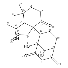 C=C1CC(=O)C2(O)C(O)C1CCC2C1(COC)C(=O)CCC(C)(C)C1C(C)O